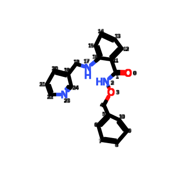 O=C(NOCc1ccccc1)c1ccccc1NCc1cccnc1